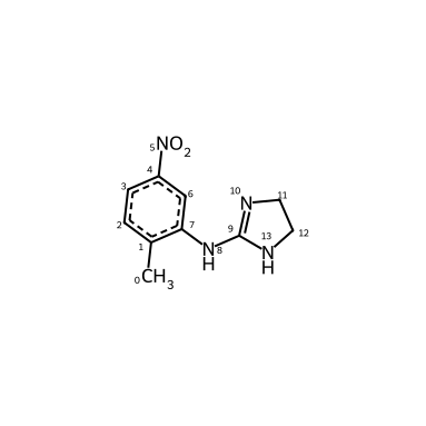 Cc1ccc([N+](=O)[O-])cc1NC1=NCCN1